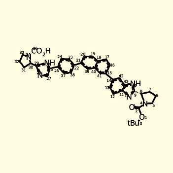 CC(C)(C)OC(=O)N1CCC[C@H]1c1nc2ccc(-c3ccc4ccc(-c5ccc(-c6cnc(C7CCCN7C(=O)O)[nH]6)cc5)cc4c3)cc2[nH]1